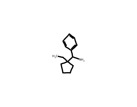 CCC1(C(N)c2ccccc2)CCCC1